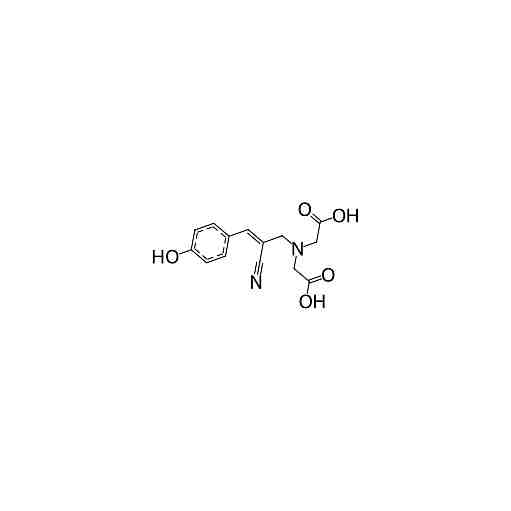 N#CC(=Cc1ccc(O)cc1)CN(CC(=O)O)CC(=O)O